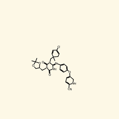 CC1(Cn2c(=O)n(C[C@H]3COC(C)(C)O3)c(=O)[nH]/c2=N\c2ccc(OC3=CC=C(C#N)NC3)cc2)C=CC(Cl)=CC1